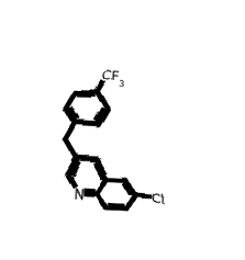 FC(F)(F)c1ccc(Cc2cnc3ccc(Cl)cc3c2)cc1